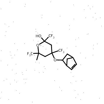 CC1(C(F)(F)F)CC(OC2CC3C=CC2C3)(C(F)(F)F)CC(O)(C(F)(F)F)O1